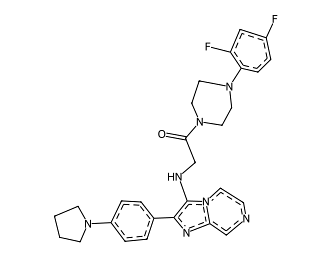 O=C(CNc1c(-c2ccc(N3CCCC3)cc2)nc2cnccn12)N1CCN(c2ccc(F)cc2F)CC1